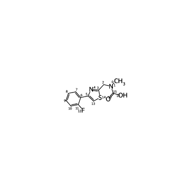 CN(Cc1nc(-c2ccccc2F)cs1)C(=O)O